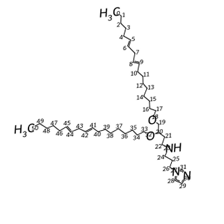 CCCCCC=CCC=CCCCCCCCCOCC(CCNCCCn1ccnc1)OCCCCCCCCC=CCC=CCCCCC